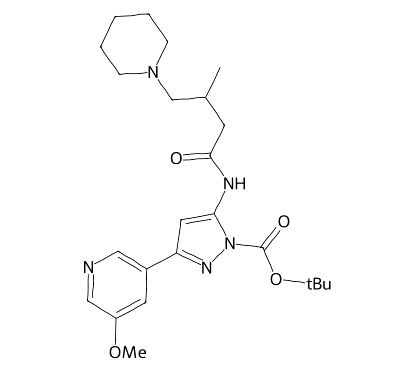 COc1cncc(-c2cc(NC(=O)CC(C)CN3CCCCC3)n(C(=O)OC(C)(C)C)n2)c1